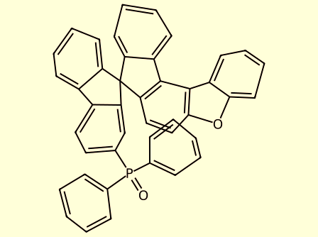 O=P(c1ccccc1)(c1ccccc1)c1ccc2c(c1)C1(c3ccccc3-2)c2ccccc2-c2c1ccc1oc3ccccc3c21